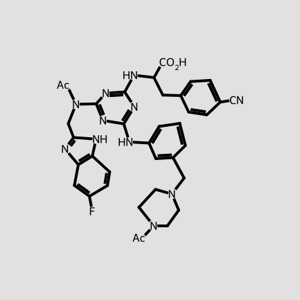 CC(=O)N1CCN(Cc2cccc(Nc3nc(NC(Cc4ccc(C#N)cc4)C(=O)O)nc(N(Cc4nc5cc(F)ccc5[nH]4)C(C)=O)n3)c2)CC1